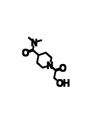 CN(C)C(=O)C1CCN(C(=O)CO)CC1